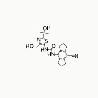 CC(C)(O)c1nc(CO)c(NC(=O)Nc2c3c(c(C#N)c4c2CCC4)CCC3)s1